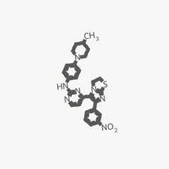 CC1CCN(c2ccc(Nc3nccc(-c4c(-c5cccc([N+](=O)[O-])c5)nc5n4CCS5)n3)cc2)CC1